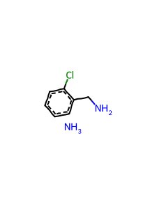 N.NCc1ccccc1Cl